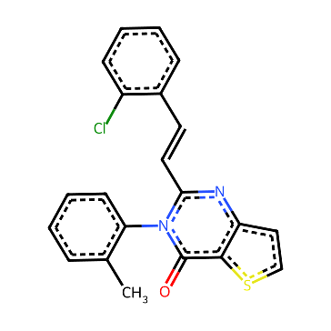 Cc1ccccc1-n1c(C=Cc2ccccc2Cl)nc2ccsc2c1=O